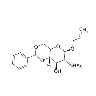 C=CCO[C@@H]1OC2COC(c3ccccc3)O[C@H]2[C@H](O)C1NC(C)=O